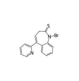 S=C1CC=C(c2ccccn2)c2ccccc2N1Br